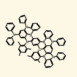 Cc1cc(C)c(B2c3ccccc3N(c3ccccc3)c3cc4c5c(c32)Oc2cc3c(cc2B5c2ccccc2N4c2ccccc2)B2c4ccccc4N(c4ccccc4)c4cc(N(c5ccccc5)c5ccccc5)cc(c42)N3c2c(C)cc(C)cc2C)c(C)c1